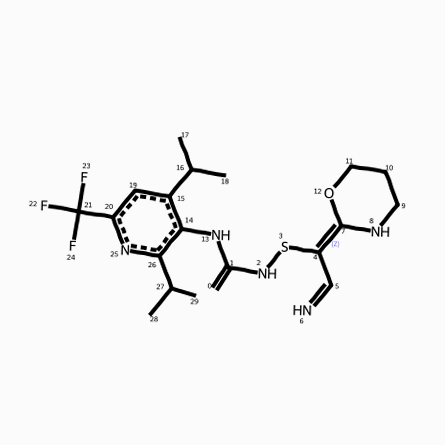 C=C(NS/C(C=N)=C1/NCCCO1)Nc1c(C(C)C)cc(C(F)(F)F)nc1C(C)C